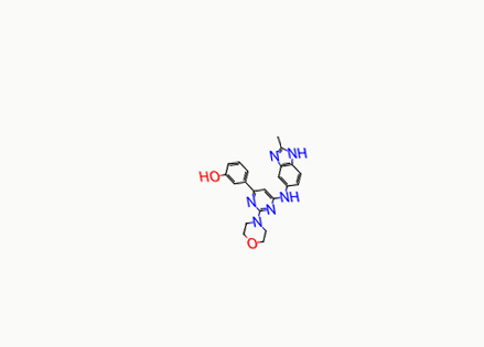 Cc1nc2cc(Nc3cc(-c4cccc(O)c4)nc(N4CCOCC4)n3)ccc2[nH]1